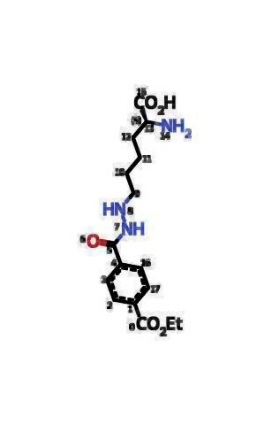 CCOC(=O)c1ccc(C(=O)NNCCCC[C@H](N)C(=O)O)cc1